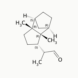 CC(C=O)[C@@H]1CC[C@]2(C)[C@H]3CC[C@H](C3)[C@]12C